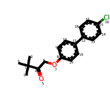 CC(C)(C)C(=O)COc1ccc(-c2ccc(Cl)cc2)cc1